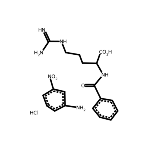 Cl.N=C(N)NCCCC(NC(=O)c1ccccc1)C(=O)O.Nc1cccc([N+](=O)[O-])c1